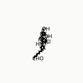 O=CCCCCCCN1CC[C@@H](Nc2nc(Cl)nc3c2ncn3[C@@H]2O[C@H](CO)C[C@H]2O)C1